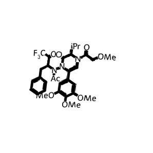 COCC(=O)N1C=C(c2cc(OC)c(OC)c(OC)c2)N(N(C(C)=O)C(Cc2ccccc2)C(=O)C(F)(F)F)C(=O)C1C(C)C